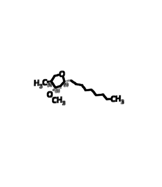 CCCCCCCCC[C@@H]1[CH][C@H](OC)[C@@H](C)CO1